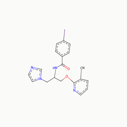 N#Cc1cccnc1OCC(Cn1ccnc1)NC(=O)c1ccc(I)cc1